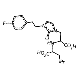 CC(C)C[C@H](NC(Cn1ccn(CCc2ccc(F)cc2)c1=O)C(=O)O)C(=O)O